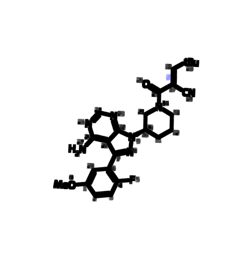 COc1ccc(F)c(-c2nn([C@@H]3CCCN(C(=O)/C(C#N)=C/C(C)(C)C)C3)c3ncnc(N)c23)c1